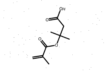 C=C(C)C(=O)OC(C)(C)CC(=O)O